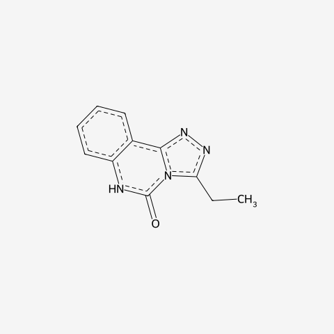 CCc1nnc2c3ccccc3[nH]c(=O)n12